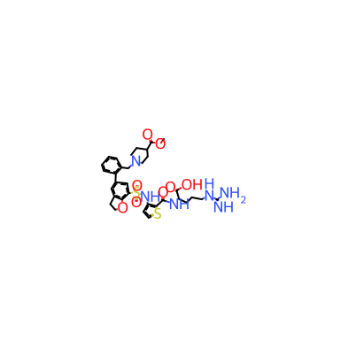 COC(=O)C1CCN(Cc2ccccc2-c2cc3c(c(S(=O)(=O)Nc4ccsc4C(=O)NC(CCCNC(=N)N)C(=O)O)c2)OCC3)CC1